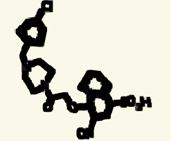 O=Nc1cc(S(=O)(=O)O)c2ccccc2c1OCC(=O)N1CCN(Cc2ccc(Cl)cc2)CC1